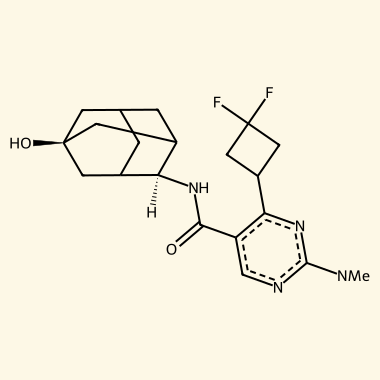 CNc1ncc(C(=O)N[C@H]2C3CC4CC2C[C@@](O)(C4)C3)c(C2CC(F)(F)C2)n1